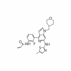 C=CC(=O)Nc1cccc(-c2nc(Nc3ncc(C)s3)cc3c2ccn3CC2CCOCC2)c1F